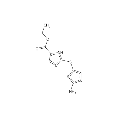 CCOC(=O)c1cnc(Sc2cnc(N)s2)[nH]1